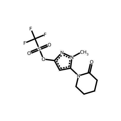 Cn1nc(OS(=O)(=O)C(F)(F)F)cc1N1CCCCC1=O